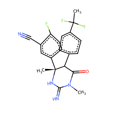 CN1C(=N)N[C@](C)(c2ccc(F)c(C#N)c2)C(c2ccc(C(C)(F)F)cc2)C1=O